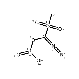 CS(=O)(=O)C(=[N+]=[N-])O[PH](=O)O